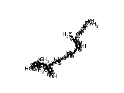 C=CCOC1CC(n2cc(C#CCNC(=O)CCSSCCNC(=O)CCCCC[N+]3=C(/C=C/C=C4/N(CC)c5ccc(S(=O)(=O)O)cc5C4(C)C)C(C)(C)c4cc(S(=O)(=O)O)ccc43)c(=O)[nH]c2=O)OC1COOOOOOOOOOP(P)P